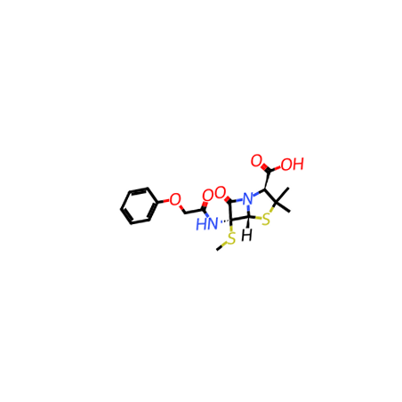 CS[C@@]1(NC(=O)COc2ccccc2)C(=O)N2[C@@H](C(=O)O)C(C)(C)S[C@@H]21